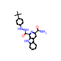 CC(C)(C)c1ccc(NNC(=O)c2nc(C(N)=O)cc3c2[nH]c2ccccc23)cc1